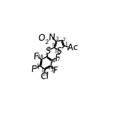 CC(=O)c1cc([N+](=O)[O-])c(Sc2c(F)c(F)c(Cl)c(F)c2F)s1